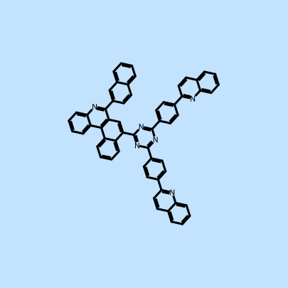 c1ccc2cc(-c3nc4ccccc4c4c3cc(-c3nc(-c5ccc(-c6ccc7ccccc7n6)cc5)nc(-c5ccc(-c6ccc7ccccc7n6)cc5)n3)c3ccccc34)ccc2c1